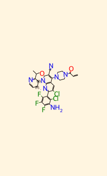 C=CC(=O)N1CCN(c2c(C#N)c(=O)n([C@H]3C(C(C)C)=NC=C[C@H]3C)c3nc(-c4c(F)c(F)c(F)c(N)c4Cl)c(Cl)cc23)CC1